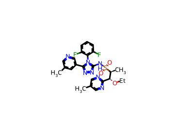 CCO[C@H](c1ncc(C)cn1)[C@H](C)S(=O)(=O)Nc1nnc(-c2cncc(C)c2)n1-c1c(F)cccc1F